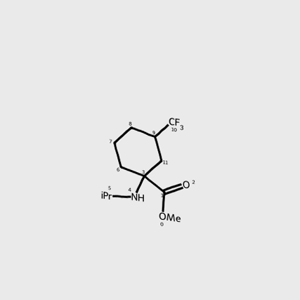 COC(=O)C1(NC(C)C)CCCC(C(F)(F)F)C1